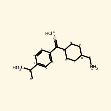 CC(C(=O)O)c1ccc(C(=O)C2CCC(CN)CC2)cc1.Cl